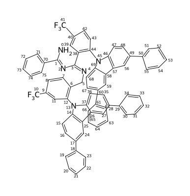 N/C(=N\C(=N/Cc1ccc(C(F)(F)F)cc1-n1c2ccc(-c3ccccc3)cc2c2cc(-c3ccccc3)ccc21)c1cc(C(F)(F)F)ccc1-n1c2ccc(-c3ccccc3)cc2c2cc(-c3ccccc3)ccc21)c1ccccc1